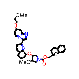 COCCOc1ccn2c(-c3ccc4cccc(OC5CN(C(=O)OCc6ccc7ccccc7c6)CC5OC)c4n3)cnc2c1